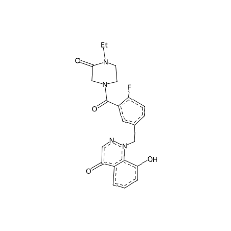 CCN1CCN(C(=O)c2cc(Cn3ncc(=O)c4cccc(O)c43)ccc2F)CC1=O